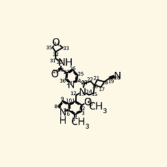 COc1cc(C)c2[nH]ccc2c1CN1CCC2(CC(C#N)C2)C[C@H]1c1ccc(C(=O)NCC2COC2)cn1